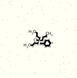 CCCCP(Cl)(CCCC)(CCCC)Cc1ccccc1